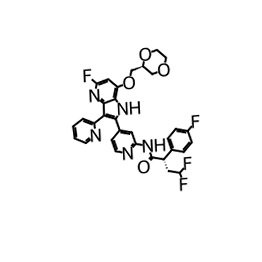 O=C(Nc1cc(-c2[nH]c3c(OC[C@@H]4COCCO4)cc(F)nc3c2-c2ccccn2)ccn1)[C@@H](CC(F)F)c1ccc(F)cc1